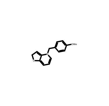 COc1ccc(CN2C=CC=C3OCC=C32)cc1